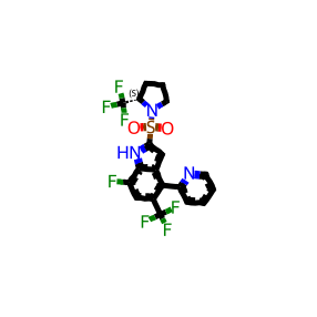 O=S(=O)(c1cc2c(-c3ccccn3)c(C(F)(F)F)cc(F)c2[nH]1)N1CCC[C@H]1C(F)(F)F